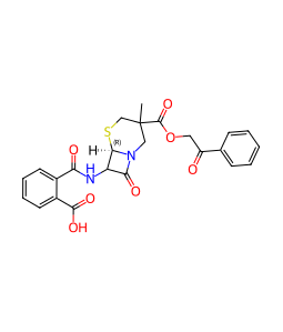 CC1(C(=O)OCC(=O)c2ccccc2)CS[C@@H]2C(NC(=O)c3ccccc3C(=O)O)C(=O)N2C1